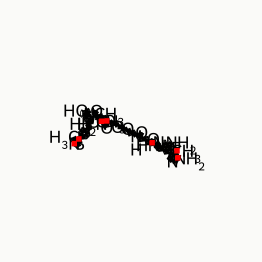 Cc1ncsc1-c1ccc(CNC(=O)[C@@H]2C[C@@H](O)CN2C(=O)CC(C)(C)CC(OCCOCCOCCNC(=O)CCCC(=O)Nc2cc3cc(-c4cncc(N)c4C)c(F)c(N)c3cn2)C(N)=O)cc1